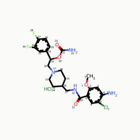 COc1cc(N)c(Cl)cc1C(=O)NCC1CCN(CC(OC(N)=O)c2ccc(F)c(F)c2)CC1.Cl